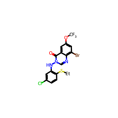 CCSc1ccc(Cl)cc1Nn1cnc2c(Br)cc(OC(F)(F)F)cc2c1=O